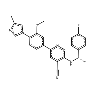 COc1cc(-c2cc(C#N)c(N[C@@H](C)c3ccc(F)cc3)nn2)ccc1-n1cnc(C)c1